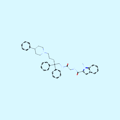 Cn1c(C(=O)NCC(=O)NCC(CCCN2CCC(c3ccccc3)CC2)(c2ccccc2)c2ccccc2)cc2ccccc21